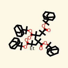 CCC(C)(CC(C)(CC(C)(CC(C)(C)C(=O)OC(C)(C)C12CC3CC(CC(C3)C1)C2)C(=O)OC(C)(C)C12CC3CC(CC(C3)C1)C2)C(=O)OC(C)(C)C12CC3CC(CC(C3)C1)C2)C(=O)OC(C)(C)C12CC3CC(CC(C3)C1)C2